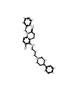 O=C1CCc2c(ccc(Cl)c2OCCCN2CCC(c3ccccc3)CC2)N1Cc1ccccc1